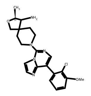 COc1cccc(-c2cnc(N3CCC4(CC3)CO[C@@H](C)C4N)n3ccnc23)c1Cl